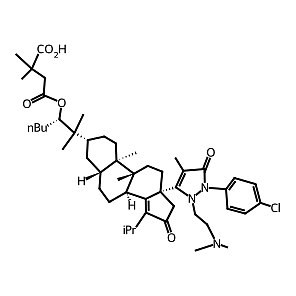 CCCC[C@H](OC(=O)CC(C)(C)C(=O)O)C(C)(C)[C@@H]1CC[C@]2(C)[C@H](CC[C@@H]3C4=C(C(C)C)C(=O)C[C@]4(c4c(C)c(=O)n(-c5ccc(Cl)cc5)n4CCN(C)C)CC[C@]32C)C1